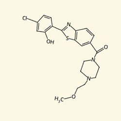 COCCN1CCN(C(=O)c2ccc3nc(-c4ccc(Cl)cc4O)sc3c2)CC1